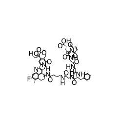 CC[C@@]1(O)C(=O)OCc2c1cc1n(c2=O)Cc2c-1nc1cc(F)c(C)c3c1c2[C@@H](NC(=O)CCCNC(=O)CNC(=O)C(Cc1ccccc1)NC(=O)CNC(=O)CNC(=O)[C@H](CCC(=O)O)N1C(=O)C=CC1=O)CC3